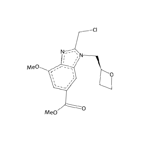 COC(=O)c1cc(OC)c2nc(CCl)n(C[C@@H]3CCO3)c2c1